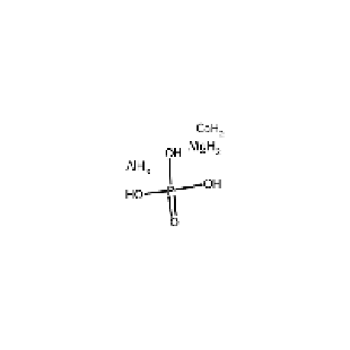 O=P(O)(O)O.[AlH3].[CaH2].[MgH2]